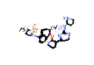 Cc1ccc2c(N3CCC(C)S3(=O)=O)cccc2c1Oc1ncccc1-c1ccnc(N[C@H]2CCCNC2)n1